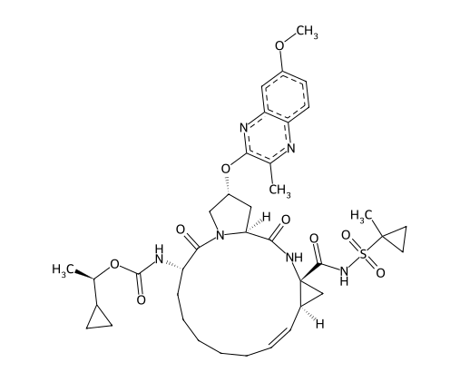 COc1ccc2nc(C)c(O[C@@H]3C[C@H]4C(=O)N[C@]5(C(=O)NS(=O)(=O)C6(C)CC6)C[C@H]5/C=C\CCCCC[C@H](NC(=O)O[C@H](C)C5CC5)C(=O)N4C3)nc2c1